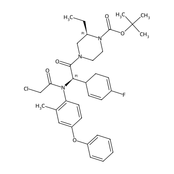 CC[C@@H]1CN(C(=O)[C@@H](C2C=CC(F)=CC2)N(C(=O)CCl)c2ccc(Oc3ccccc3)cc2C)CCN1C(=O)OC(C)(C)C